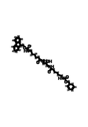 O=C(CCCCCNC(=O)OCC1C=CC=CC1)NCC(O)CNC(=O)CCCCCNC(=O)OCC1c2ccccc2-c2ccccc21